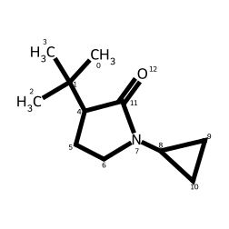 CC(C)(C)C1CCN(C2CC2)C1=O